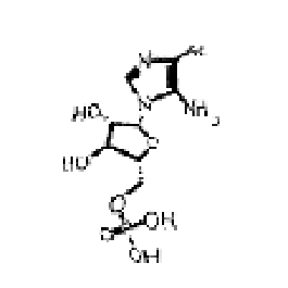 CC(=O)c1ncn([C@@H]2O[C@H](COP(=O)(O)O)C(O)[C@@H]2O)c1N